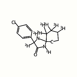 [2H]C1CCC2(N([2H])C(=O)C([2H])(c3ccc(Cl)cc3)N2[2H])C([2H])([2H])C1([2H])[2H]